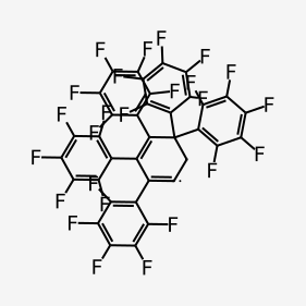 Fc1c(F)c(F)c(C2=[C]CC(c3c(F)c(F)c(F)c(F)c3F)(c3c(F)c(F)c(F)c(F)c3F)C(c3c(F)c(F)c(F)c(F)c3F)=C2c2c(F)c(F)c(F)c(F)c2F)c(F)c1F